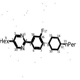 CCCCCCc1cnc(-c2ccc([C@H]3CC[C@H](CCCCC)CC3)c(F)c2)nc1